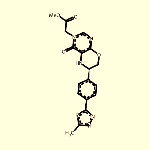 COC(=O)Cn1cnc2c(c1=O)N[C@H](c1ccc(-c3nnc(C)s3)cc1)CO2